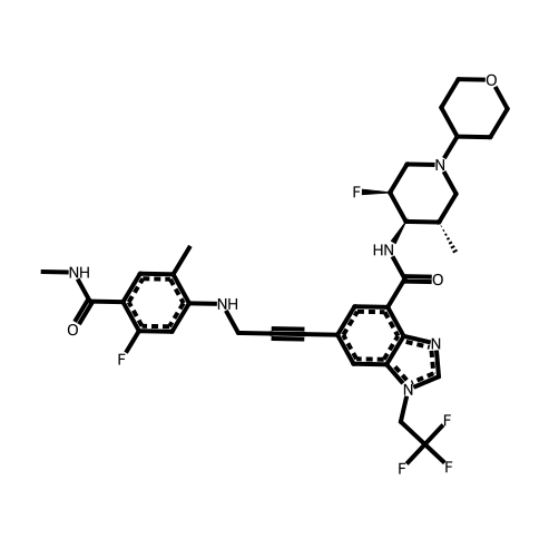 CNC(=O)c1cc(C)c(NCC#Cc2cc(C(=O)N[C@@H]3[C@@H](C)CN(C4CCOCC4)C[C@@H]3F)c3ncn(CC(F)(F)F)c3c2)cc1F